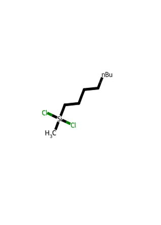 CCCCCCCC[Si](C)(Cl)Cl